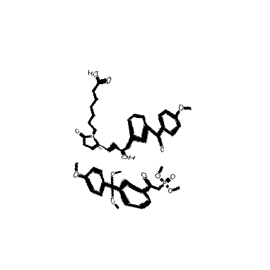 COc1ccc(C(=O)c2cccc(C(O)C=C[C@H]3CCC(=O)N3CCCCCCC(=O)O)c2)cc1.COc1ccc(C(OC)(OC)c2cccc(C(=O)CP(=O)(OC)OC)c2)cc1